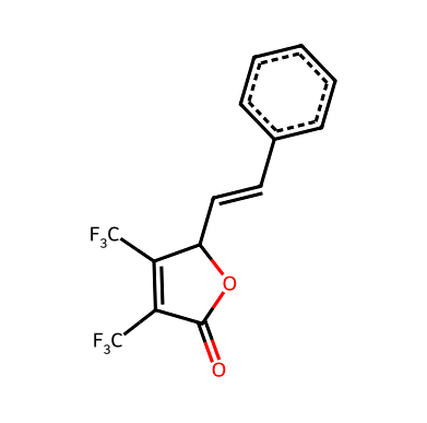 O=C1OC(C=Cc2ccccc2)C(C(F)(F)F)=C1C(F)(F)F